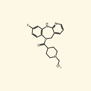 O=C(C1CCN(CC(F)(F)F)CC1)N1Cc2cccnc2Nc2cc(F)ccc21